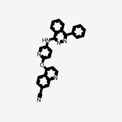 N#Cc1ccc2c(Oc3ccc(Nc4nnc(-c5ccccc5)c5ccccc45)cn3)ccnc2c1